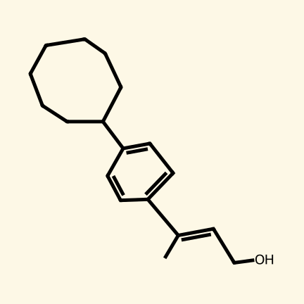 CC(=CCO)c1ccc(C2CCCCCCC2)cc1